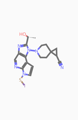 C[C@@H](O)c1nc2cnc3c(ccn3SI)c2n1N1CCC2(CC1)CC2C#N